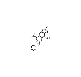 Cc1cn2cc(C(=O)N(C)C)c(C/C=C/c3ccccc3)c(O)c2n1